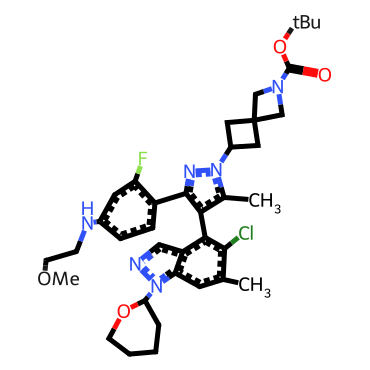 COCCNc1ccc(-c2nn(C3CC4(C3)CN(C(=O)OC(C)(C)C)C4)c(C)c2-c2c(Cl)c(C)cc3c2cnn3C2CCCCO2)c(F)c1